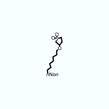 CCCCCCCCCCCCCCCCOC1CCS(=O)(=O)C1